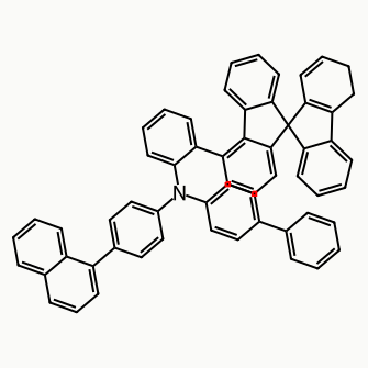 C1=CC2=C(CC1)c1ccccc1C21c2ccccc2-c2c(-c3ccccc3N(c3ccc(-c4ccccc4)cc3)c3ccc(-c4cccc5ccccc45)cc3)cccc21